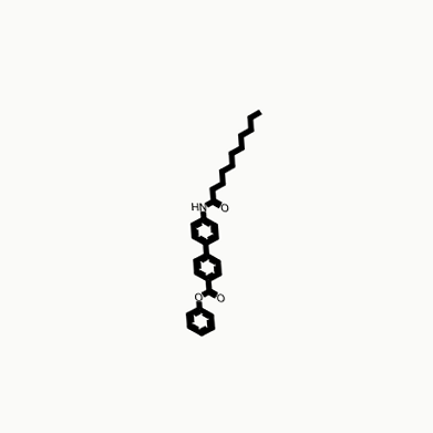 CCCCCCCCCCC(=O)Nc1ccc(-c2ccc(C(=O)Oc3ccccc3)cc2)cc1